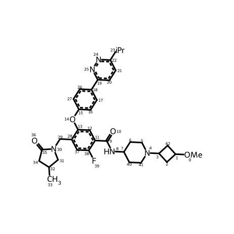 COC1CC(N2CCC(NC(=O)c3cc(Oc4ccc(-c5ccc(C(C)C)nn5)cc4)c(CN4CC(C)CC4=O)cc3F)CC2)C1